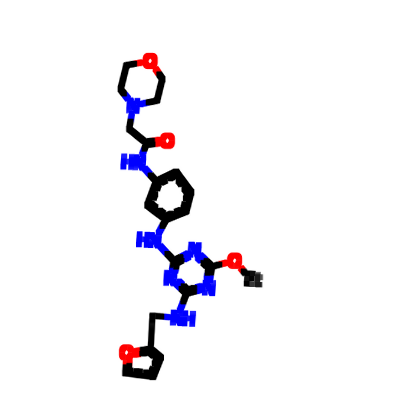 CCOc1nc(NCc2ccco2)nc(Nc2cccc(NC(=O)CN3CCOCC3)c2)n1